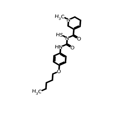 CCCCCOc1ccc(NC(=O)N(S)C(=O)C2=CCCN(C)C2)cc1